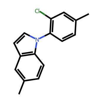 Cc1ccc(-n2ccc3cc(C)ccc32)c(Cl)c1